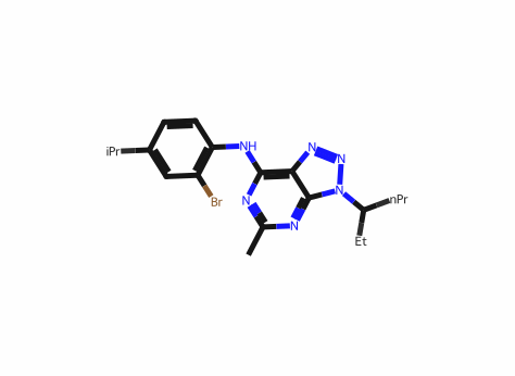 CCCC(CC)n1nnc2c(Nc3ccc(C(C)C)cc3Br)nc(C)nc21